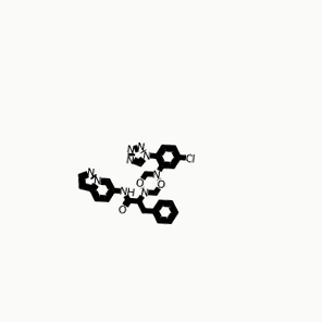 O=C(Nc1ccc2ccnn2c1)C(Cc1ccccc1)N1CON(c2cc(Cl)ccc2-n2cnnn2)CO1